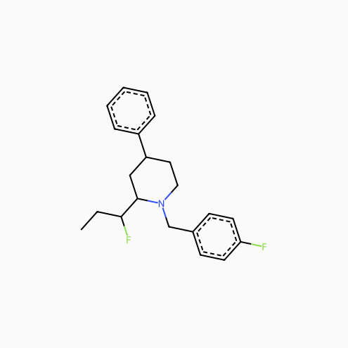 CCC(F)C1CC(c2ccccc2)CCN1Cc1ccc(F)cc1